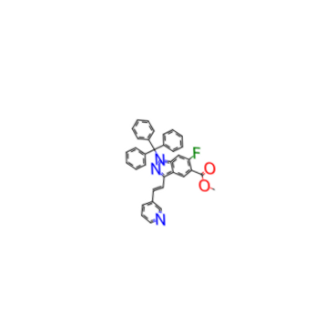 COC(=O)c1cc2c(C=Cc3cccnc3)nn(C(c3ccccc3)(c3ccccc3)c3ccccc3)c2cc1F